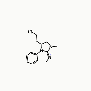 C/N=C1/N(C)CC(CCCl)N1c1ccccc1